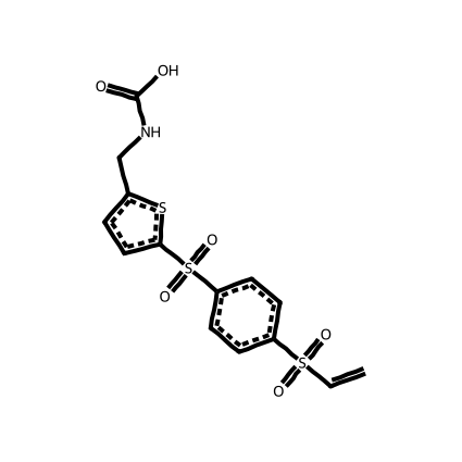 C=CS(=O)(=O)c1ccc(S(=O)(=O)c2ccc(CNC(=O)O)s2)cc1